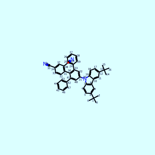 CC(C)(C)c1ccc2c(c1)c1cc(C(C)(C)C)ccc1n2-c1cc(-c2ccccc2)c(-c2ccc(C#N)cc2C#N)c(-c2ccccc2)c1